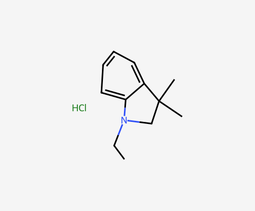 CCN1CC(C)(C)c2ccccc21.Cl